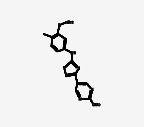 CCCCCCCCOc1cc(Nc2nc(-c3cnc(OC)nc3)cs2)ccc1C